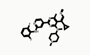 C=N/C=C(\c1c(C)nc(-c2ccnc(Nc3c(F)cccc3F)c2)nc1N(C)C1CCN(C)CC1)C1CC1